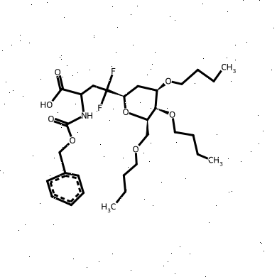 CCCCOC[C@H]1O[C@@H](C(F)(F)CC(NC(=O)OCc2ccccc2)C(=O)O)C[C@@H](OCCCC)[C@H]1OCCCC